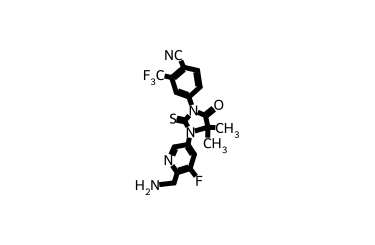 CC1(C)C(=O)N(c2ccc(C#N)c(C(F)(F)F)c2)C(=S)N1c1cnc(CN)c(F)c1